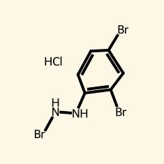 BrNNc1ccc(Br)cc1Br.Cl